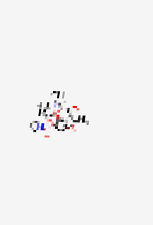 CO[C@H]1C(C2(C)O[C@@H]2/C=C/C(C)C)[C@]2(CC[C@H]1OC(=O)N1CCCC1)CO2